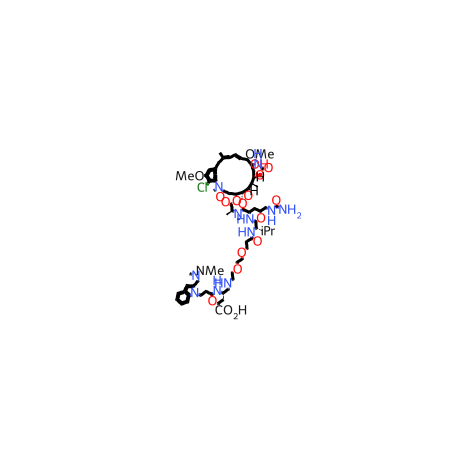 CNN(C)Cc1cc2ccccc2n1CCC(=O)N[C@@H](CCC(=O)O)CNCCOCCOCCC(=O)N[C@H](C(=O)NC(CCCNC(N)=O)C(=O)N(C)[C@@H](C)C(=O)O[C@H]1CC(=O)N(C)c2cc(cc(OC)c2Cl)C/C(C)=C/C=C/[C@@H](OC)[C@@]2(O)C[C@H](OC(=O)N2)[C@@H](C)[C@@H]2O[C@@]12C)C(C)C